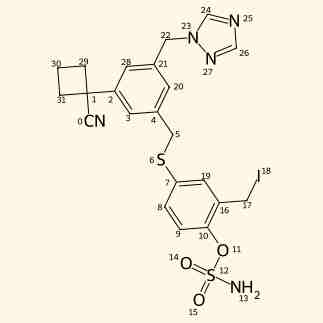 N#CC1(c2cc(CSc3ccc(OS(N)(=O)=O)c(CI)c3)cc(Cn3cncn3)c2)CCC1